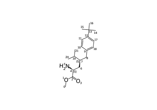 COC(=O)[C@@H](N)C[C@H](Cc1ccc(C(C)(C)C)cc1)C(C)C